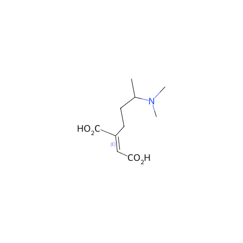 CC(CC/C(=C\C(=O)O)C(=O)O)N(C)C